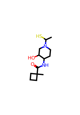 CC(S)N1CCC(NC(=O)C2(C)CCC2)C(O)C1